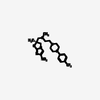 CN(CCN1CCN(c2ccc(C(F)(F)F)cc2)CC1)C[C@@]1(C)Cn2cc([N+](=O)[O-])nc2O1